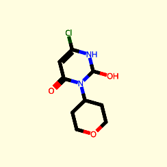 O=C1C=C(Cl)NC(O)N1C1CCOCC1